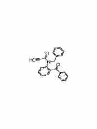 C#CC(=O)N(Cc1ccccc1)c1ccccc1C(=O)c1ccccc1